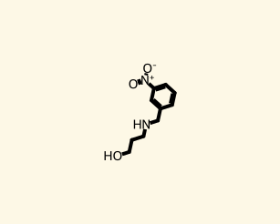 O=[N+]([O-])c1cccc(CNCCCO)c1